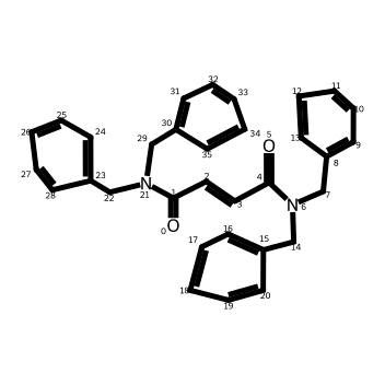 O=C(C=CC(=O)N(Cc1ccccc1)Cc1ccccc1)N(Cc1ccccc1)Cc1ccccc1